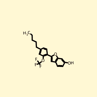 CCCCCc1ccc(-c2cc3ccc(O)cc3o2)c(OC(F)(F)F)c1